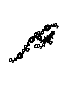 C[C@@H](O[Si](C)(C)C)[C@H]1C(=O)N2C(C(=O)O)=C(S[C@H]3C[C@@H](C(=O)N4CCN(CCOC(=O)OCc5ccc([N+](=O)[O-])cc5)CC4)N(C(=O)OCc4ccc([N+](=O)[O-])cc4)C3)[C@H](C)[C@H]12